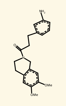 COc1cc2c(cc1OC)CN(C(=O)CCc1cccc(N)c1)CC2